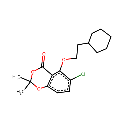 CC1(C)OC(=O)c2c(ccc(Cl)c2OCCC2CCCCC2)O1